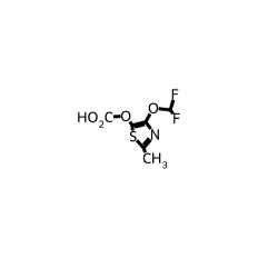 Cc1nc(OC(F)F)c(OC(=O)O)s1